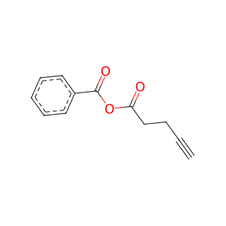 C#CCCC(=O)OC(=O)c1ccccc1